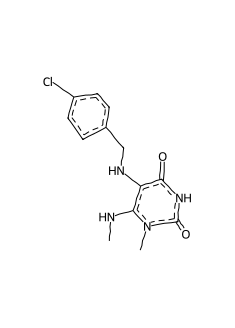 CNc1c(NCc2ccc(Cl)cc2)c(=O)[nH]c(=O)n1C